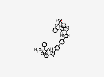 CN1CCC2(CC1)OC[C@@H](c1ncc(-c3ccc(-c4ccc(-c5cnc([C@@H]6CCCN6C(=O)[C@@H](c6ccccc6)N(C)C)[nH]5)cc4)cc3)[nH]1)N2C(=O)[C@H](NC(=O)C1CC1)c1ccccc1